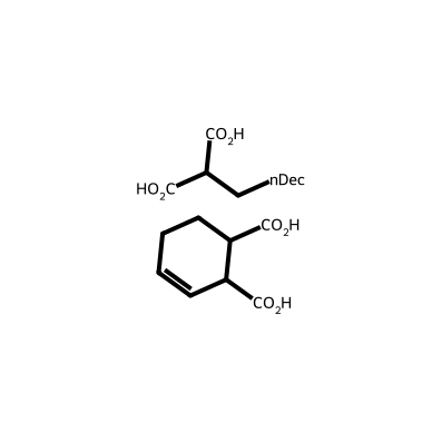 CCCCCCCCCCCC(C(=O)O)C(=O)O.O=C(O)C1C=CCCC1C(=O)O